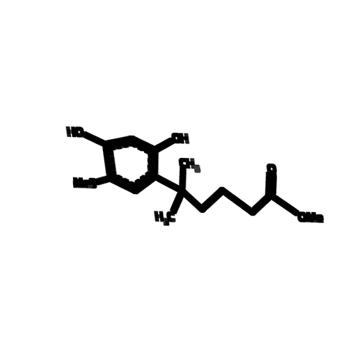 COC(=O)CCCC(C)(C)c1cc(SC)c(O)cc1O